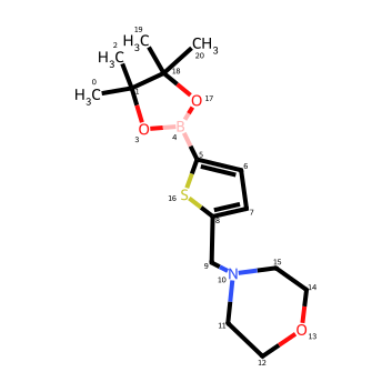 CC1(C)OB(c2ccc(CN3CCOCC3)s2)OC1(C)C